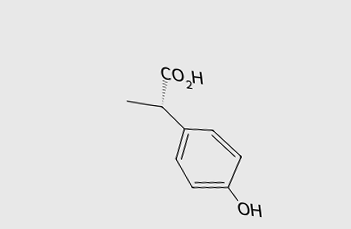 C[C@H](C(=O)O)c1ccc(O)cc1